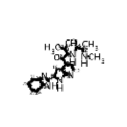 CN[C@H](C)C(=O)N[C@H](C(=O)c1ccnc2c1C[C@@H](c1nc3ccccc3[nH]1)N2)C(C)C